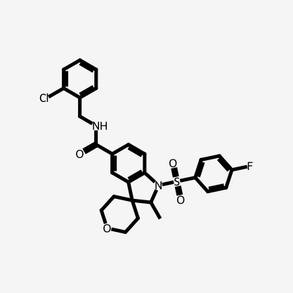 CC1N(S(=O)(=O)c2ccc(F)cc2)c2ccc(C(=O)NCc3ccccc3Cl)cc2C12CCOCC2